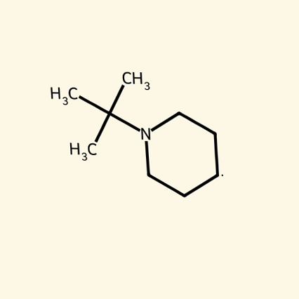 CC(C)(C)N1CC[CH]CC1